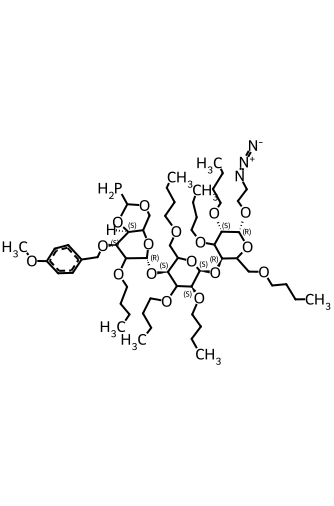 CCCCOCC1O[C@@H](OCCN=[N+]=[N-])[C@@H](OCCCC)C(OCCCC)[C@@H]1O[C@@H]1OC(COCCCC)[C@H](O[C@H]2OC3COC(P)O[C@@H]3[C@H](OCc3ccc(OC)cc3)C2OCCCC)C(OCCCC)[C@@H]1OCCCC